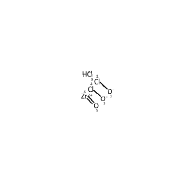 Cl.[O-]Cl.[O-]Cl.[O]=[Zr+2]